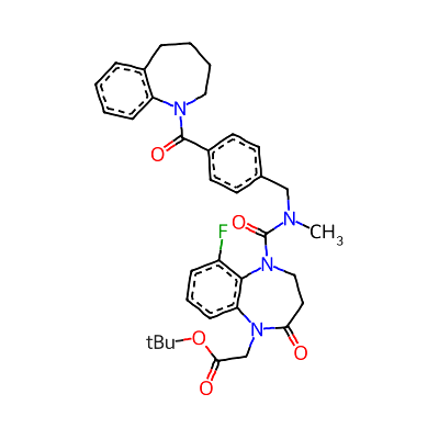 CN(Cc1ccc(C(=O)N2CCCCc3ccccc32)cc1)C(=O)N1CCC(=O)N(CC(=O)OC(C)(C)C)c2cccc(F)c21